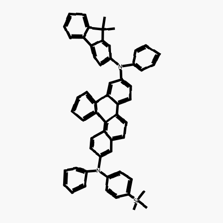 CC1(C)c2ccccc2-c2ccc(N(c3ccccc3)c3ccc4c(c3)c3ccccc3c3c5ccc(N(c6ccccc6)c6ccc([Si](C)(C)C)cc6)cc5ccc43)cc21